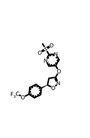 CS(=O)(=O)c1ncc(OC2=NO[C@@H](c3ccc(OC(F)(F)F)cc3)C2)cn1